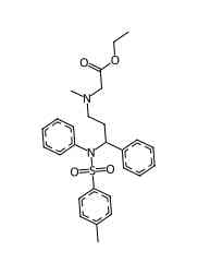 CCOC(=O)CN(C)CCC(c1ccccc1)N(c1ccccc1)S(=O)(=O)c1ccc(C)cc1